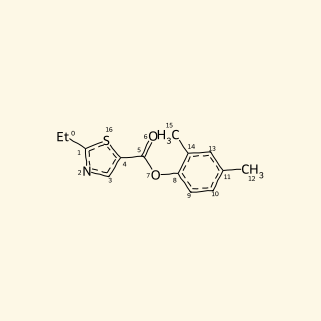 CCc1ncc(C(=O)Oc2ccc(C)cc2C)s1